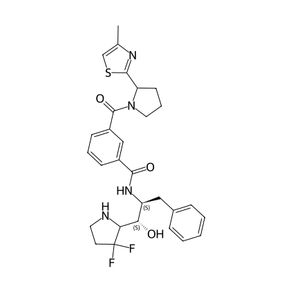 Cc1csc(C2CCCN2C(=O)c2cccc(C(=O)N[C@@H](Cc3ccccc3)[C@H](O)C3NCCC3(F)F)c2)n1